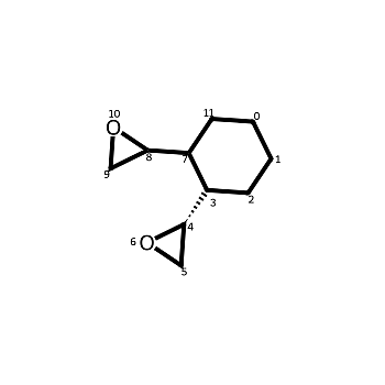 C1CCC([C@@H]2CO2)C(C2CO2)C1